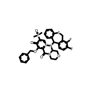 CP(C)(=O)c1cn2c(c(OCc3ccccc3)c1=O)C(=O)N1CCOCC1N2C1c2ccccc2SCc2c1ccc(F)c2F